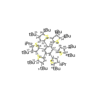 CC(C)c1cc(-c2c(-c3cc(C(C)(C)C)c(C(C)(C)C)s3)c(-c3cc(C(C)(C)C)c(C(C)C)s3)c(-c3cc(C(C)(C)C)c(C(C)(C)C)s3)c(-c3cc(C(C)(C)C)c(C(C)(C)C)s3)c2-c2cc(C(C)(C)C)c(C(C)(C)C)s2)sc1C(C)(C)C